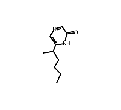 CCCCC(C)c1cncc(=O)[nH]1